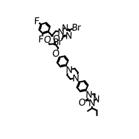 CCC(C)n1ncn(-c2ccc(N3CCN(c4ccc(OCC5COC(Cn6nc(Br)nc6Br)(c6ccc(F)cc6F)O5)cc4)CC3)cc2)c1=O